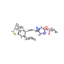 CCCCCCc1cc2c(cc1C#Cc1cnc(OC(=O)CCC)cn1)C(CC)(CC)CCS2